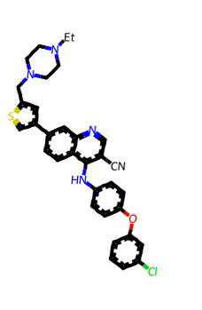 CCN1CCN(Cc2cc(-c3ccc4c(Nc5ccc(Oc6cccc(Cl)c6)cc5)c(C#N)cnc4c3)cs2)CC1